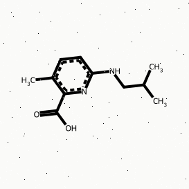 Cc1ccc(NCC(C)C)nc1C(=O)O